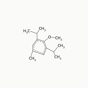 COc1c(C(C)C)cc(C)cc1C(C)C